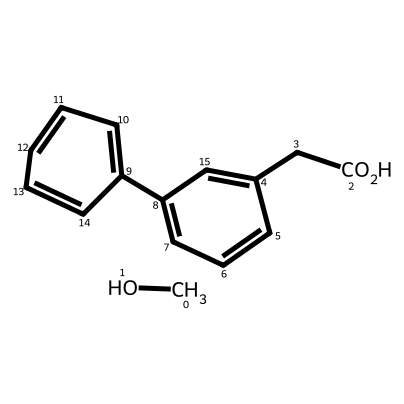 CO.O=C(O)Cc1cccc(-c2ccccc2)c1